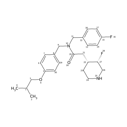 CC(C)COc1ccc(CN(Cc2ccc(F)cc2)C(=O)C[C@H]2CCNC[C@H]2F)cc1